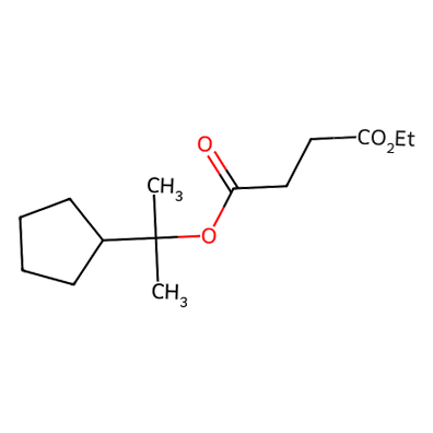 CCOC(=O)CCC(=O)OC(C)(C)C1CCCC1